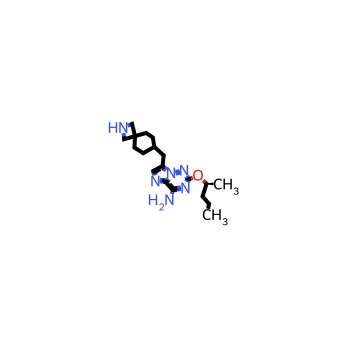 CCC[C@H](C)Oc1nc(N)c2ncc(CC3CCC4(CC3)CNC4)n2n1